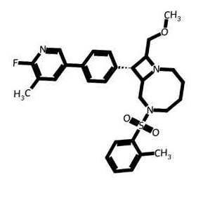 COCC1[C@@H](c2ccc(-c3cnc(F)c(C)c3)cc2)C2CN(S(=O)(=O)c3ccccc3C)CCCCN12